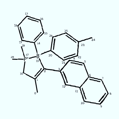 CC1=C(c2ccc3ccccc3c2)[B-](c2ccccc2)(c2ccc(C)cc2)[P+](C)(C)C1